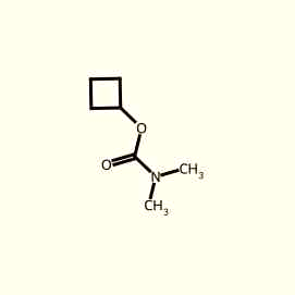 CN(C)C(=O)OC1CCC1